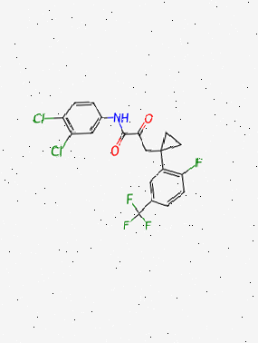 O=C(CC1(c2cc(C(F)(F)F)ccc2F)CC1)C(=O)Nc1ccc(Cl)c(Cl)c1